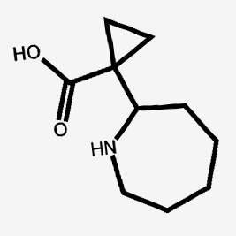 O=C(O)C1(C2CCCCCN2)CC1